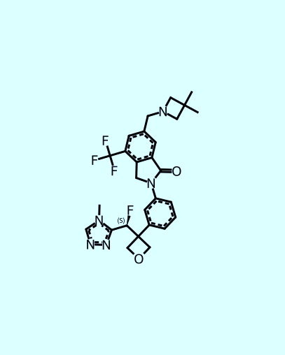 Cn1cnnc1[C@@H](F)C1(c2cccc(N3Cc4c(cc(CN5CC(C)(C)C5)cc4C(F)(F)F)C3=O)c2)COC1